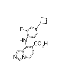 O=C(O)c1ccn2cncc2c1Nc1ccc(C2CCC2)cc1F